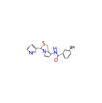 CC(C)c1cccc(C(=O)Nc2ccn3c2CSC3c2cccnc2)c1